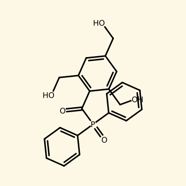 O=C(c1c(CO)cc(CO)cc1CO)P(=O)(c1ccccc1)c1ccccc1